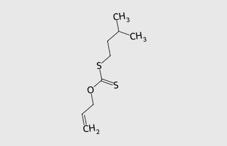 C=CCOC(=S)SCCC(C)C